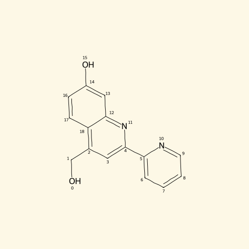 OCc1cc(-c2ccccn2)nc2cc(O)ccc12